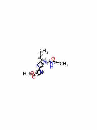 CC#CC(=O)NCCn1cc(CCCC)c2cnc(-c3cc(C(=O)OC)ccn3)cc21